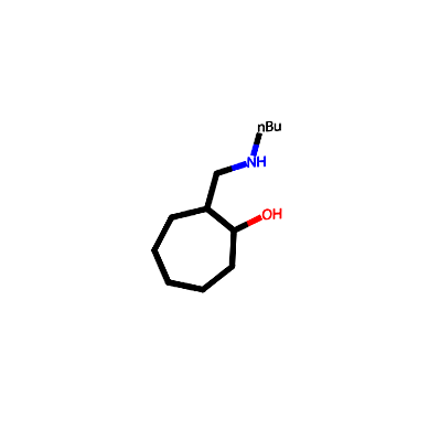 CCCCNCC1CCCCCC1O